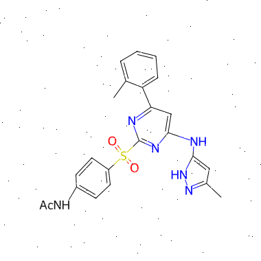 CC(=O)Nc1ccc(S(=O)(=O)c2nc(Nc3cc(C)n[nH]3)cc(-c3ccccc3C)n2)cc1